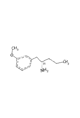 CCC[C@H](N)Cc1cccc(OC)c1